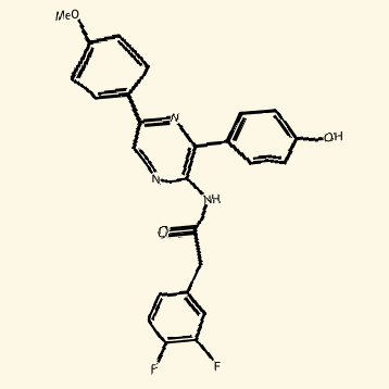 COc1ccc(-c2cnc(NC(=O)Cc3ccc(F)c(F)c3)c(-c3ccc(O)cc3)n2)cc1